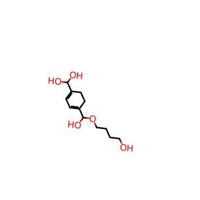 OCCCCOC(O)C1=CC=C(C(O)O)CC1